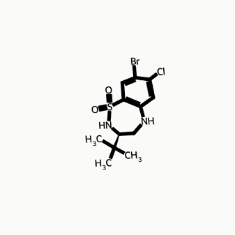 CC(C)(C)[C@@H]1CNc2cc(Cl)c(Br)cc2S(=O)(=O)N1